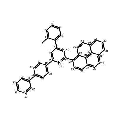 Cc1ccccc1-c1cc(-c2ccc(-c3cccnc3)cc2)nc(-c2ccc3ccc4cccc5ccc2c3c45)n1